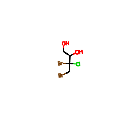 OCC(O)C(Cl)(Br)CBr